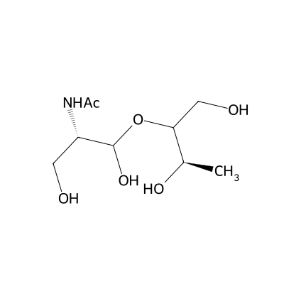 CC(=O)N[C@@H](CO)C(O)OC(CO)[C@@H](C)O